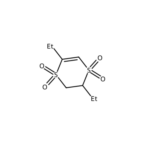 CCC1=CS(=O)(=O)C(CC)CS1(=O)=O